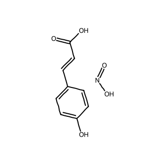 O=C(O)C=Cc1ccc(O)cc1.O=NO